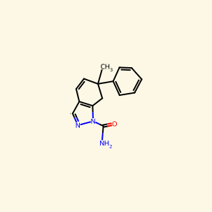 CC1(c2ccccc2)C=Cc2[c]nn(C(N)=O)c2C1